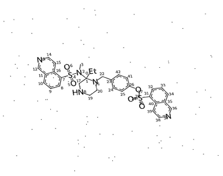 CCC1(N(C)S(=O)(=O)c2cccc3cnccc23)CNCCN1Cc1ccc(OS(=O)(=O)c2cccc3cnccc23)cc1